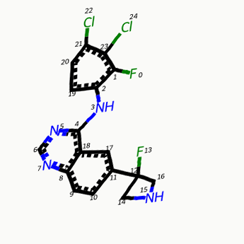 Fc1c(Nc2ncnc3ccc(C4(F)CNC4)cc23)ccc(Cl)c1Cl